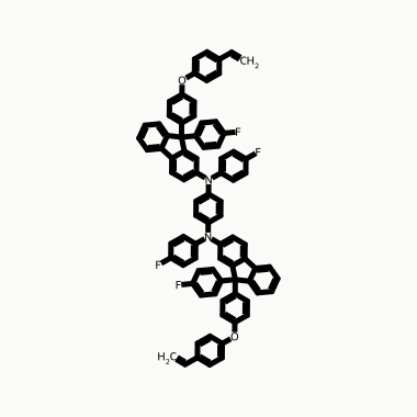 C=Cc1ccc(Oc2ccc(C3(c4ccc(F)cc4)c4ccccc4-c4ccc(N(c5ccc(F)cc5)c5ccc(N(c6ccc(F)cc6)c6ccc7c(c6)C(c6ccc(F)cc6)(c6ccc(Oc8ccc(C=C)cc8)cc6)c6ccccc6-7)cc5)cc43)cc2)cc1